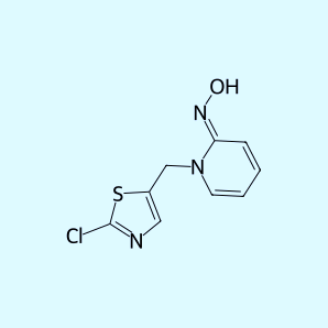 ON=c1ccccn1Cc1cnc(Cl)s1